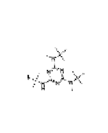 CN(c1nc(NC(C)(C)I)nc(N(I)C(C)(C)C)n1)C(C)(C)C